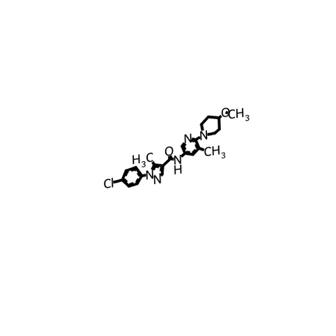 COC1CCN(c2ncc(NC(=O)c3cnn(-c4ccc(Cl)cc4)c3C)cc2C)CC1